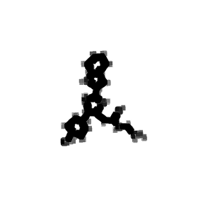 CCOC(=O)Cc1oc(-c2cc3ccccc3s2)nc1-c1ccc(Cl)cc1